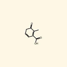 CC1=C(C(=O)O)C=CCC1=O